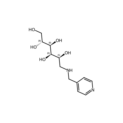 OC[C@@H](O)[C@@H](O)[C@H](O)[C@@H](O)CNCc1ccncc1